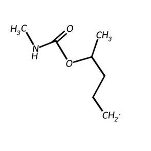 [CH2]CCC(C)OC(=O)NC